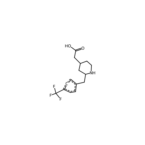 O=C(O)CC1CCNC(Cc2ccc(C(F)(F)F)cc2)C1